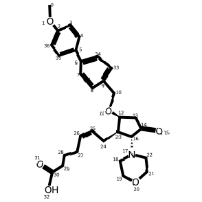 COc1ccc(-c2ccc(CO[C@H]3CC(=O)[C@H](N4CCOCC4)[C@H]3C/C=C\CCCC(=O)O)cc2)cc1